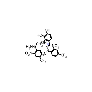 CN(/N=C/c1ccc(O)c(O)c1O)c1ccc(C(F)(F)F)cc1[N+](=O)[O-].CN(N)c1ccc(C(F)(F)F)cc1[N+](=O)[O-]